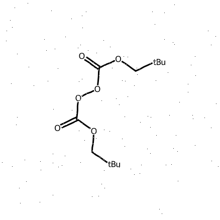 CC(C)(C)COC(=O)OOC(=O)OCC(C)(C)C